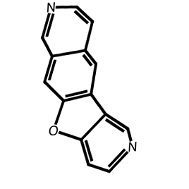 c1cc2cc3c(cc2cn1)oc1ccncc13